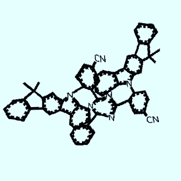 CC1(C)c2ccccc2-c2cc3c4ccccc4n(-c4ccc(C#N)cc4-c4nc(-c5ccccc5)nc(-c5cc(C#N)ccc5-n5c6ccccc6c6cc7c(cc65)C(C)(C)c5ccccc5-7)n4)c3cc21